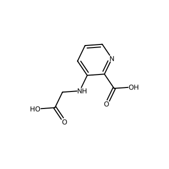 O=C(O)CNc1cccnc1C(=O)O